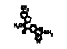 CN(C(=O)c1ccc2nc(N)c3cncn3c2c1)[C@@H]1CCc2cc(C(F)(F)F)ccc21